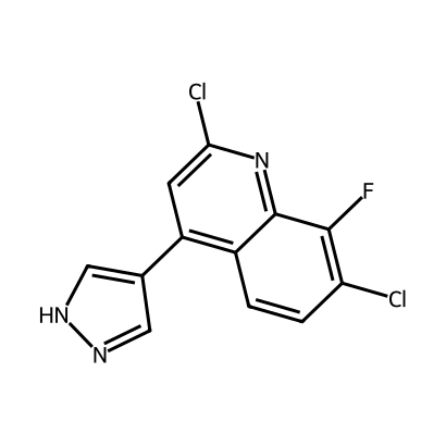 Fc1c(Cl)ccc2c(-c3cn[nH]c3)cc(Cl)nc12